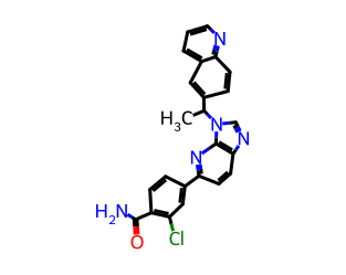 CC(c1ccc2ncccc2c1)n1cnc2ccc(-c3ccc(C(N)=O)c(Cl)c3)nc21